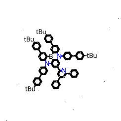 CC(C)(C)c1ccc(-c2ccc(N3c4ccc(-c5ccc(C(C)(C)C)cc5)cc4B4c5cc(-c6ccc(C(C)(C)C)cc6)ccc5N(c5ccc(-c6ccc(C(C)(C)C)cc6)cc5)c5cc(-c6cc(-c7ccccc7)cc(-c7ccccc7)n6)cc3c54)cc2)cc1